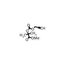 C#CCOC(=O)OC(C)(C)C(=O)OC